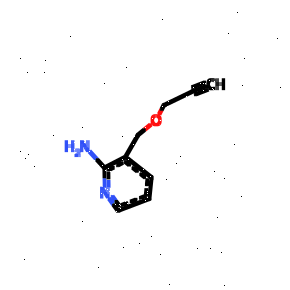 C#CCOCc1cccnc1N